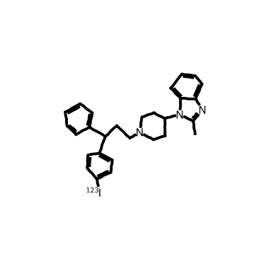 Cc1nc2ccccc2n1C1CCN(CCC(c2ccccc2)c2ccc([123I])cc2)CC1